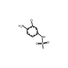 CS(=O)(=O)Nc1ccc(N)c(Cl)c1